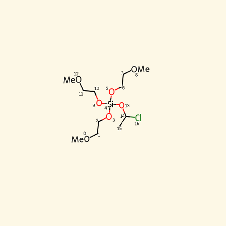 COCCO[Si](OCCOC)(OCCOC)OC(C)Cl